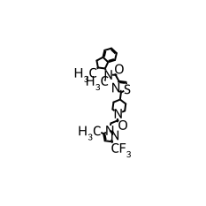 Cc1cc(C(F)(F)F)nn1CC(=O)N1CCC(c2nc(C(=O)N(C)C3c4ccccc4CC3C)cs2)CC1